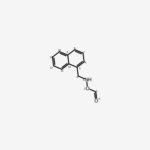 O=CONCc1cccc2ccccc12